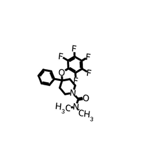 CN(C)C(=O)N1CCC(Oc2c(F)c(F)c(F)c(F)c2F)(c2ccccc2)CC1